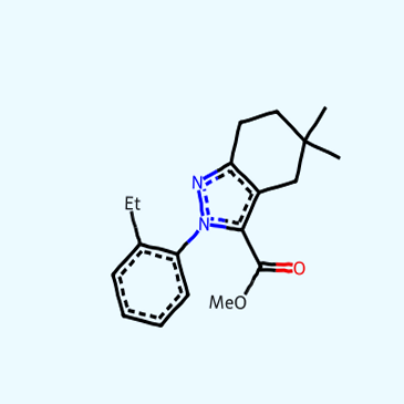 CCc1ccccc1-n1nc2c(c1C(=O)OC)CC(C)(C)CC2